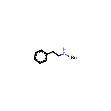 CC(C)(C)NCCc1ccccc1